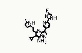 C[C@@H]1CC[C@H](CCc2nc3c(-c4ccc(-c5nc(F)c[nH]5)nc4)cnn3c(N)c2C2CC2)N1